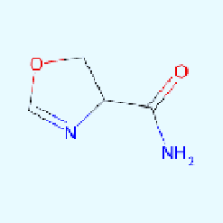 NC(=O)C1COC=N1